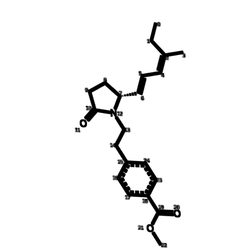 CC/C(C)=C\C=C\[C@H]1CCC(=O)N1CCc1ccc(C(=O)OC)cc1